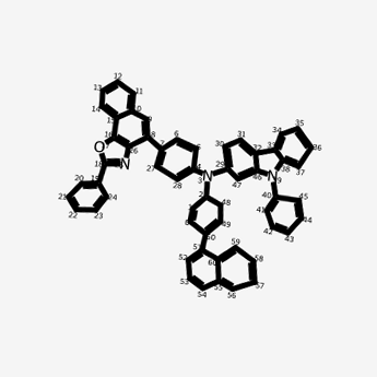 C1=CC(N(c2ccc(-c3cc4ccccc4c4oc(-c5ccccc5)nc34)cc2)c2ccc3c4ccccc4n(-c4ccccc4)c3c2)CC=C1c1cccc2ccccc12